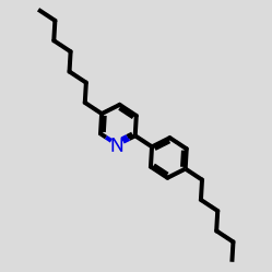 CCCCCCCc1ccc(-c2ccc(CCCCCC)cc2)nc1